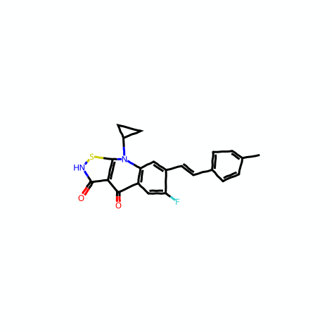 Cc1ccc(/C=C/c2cc3c(cc2F)c(=O)c2c(=O)[nH]sc2n3C2CC2)cc1